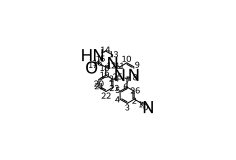 N#Cc1cccc(-c2nccc(N3CCNC(=O)C3c3ccccc3)n2)c1